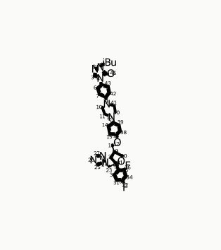 CCC(C)n1ncn(-c2ccc(N3CCN(c4ccc(OC[C@H]5CO[C@](Cn6cncn6)(c6ccc(F)cc6F)C5)cc4)CC3)cc2)c1=O